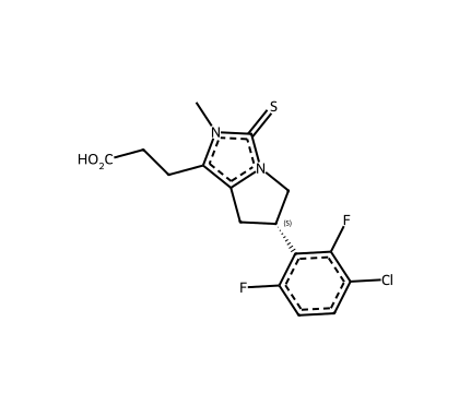 Cn1c(CCC(=O)O)c2n(c1=S)C[C@H](c1c(F)ccc(Cl)c1F)C2